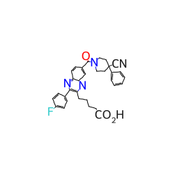 N#CC1(c2ccccc2)CCN(C(=O)c2ccc3nc(-c4ccc(F)cc4)c(CCCCC(=O)O)nc3c2)CC1